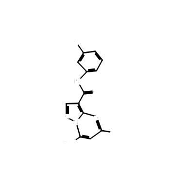 Cc1cc(C)n2ncc(C(=O)Nc3cccc(C(F)(F)F)c3)c2n1